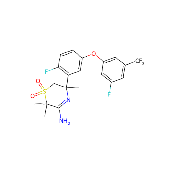 CC1(c2cc(Oc3cc(F)cc(C(F)(F)F)c3)ccc2F)CS(=O)(=O)C(C)(C)C(N)=N1